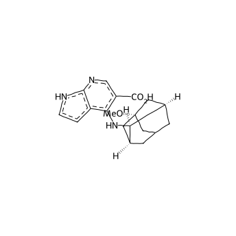 CO[C@@]12CC3C[C@H](C1)[C@H](Nc1c(C(=O)O)cnc4[nH]ccc14)[C@@H](C3)C2